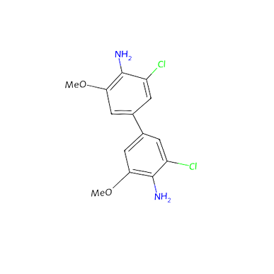 COc1cc(-c2cc(Cl)c(N)c(OC)c2)cc(Cl)c1N